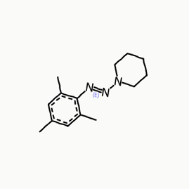 Cc1cc(C)c(/N=N/N2CCCCC2)c(C)c1